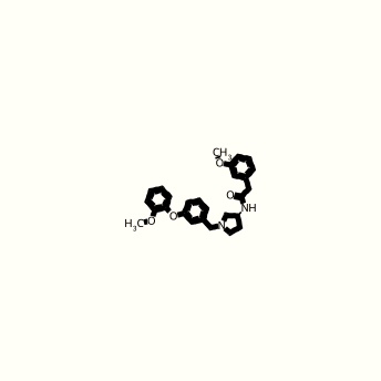 COc1cccc(CC(=O)N[C@@H]2CCN(Cc3cccc(Oc4ccccc4OC)c3)C2)c1